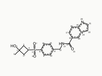 CC1(O)CC(S(=O)(=O)c2ccc(CNC(=O)c3ccc4nccn4c3)cc2)C1